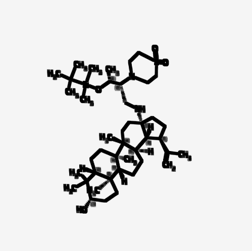 C=C(C)[C@@H]1CC[C@]2(NC[C@H]([C@@H](C)O[Si](C)(C)C(C)(C)C)N3CCS(=O)(=O)CC3)CC[C@]3(C)[C@H](CC[C@@H]4[C@@]5(C)CC[C@H](O)C(C)(C)[C@@H]5CC[C@]43C)[C@@H]12